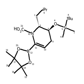 CC(C)C[C@@H]1[C@@H](O[Si](C)(C)C(C)(C)C)CC=C(B2OC(C)(C)C(C)(C)O2)N1C(=O)O